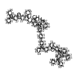 CC1(C)c2cc(N(c3ccccc3)c3ccc4c(c3)oc3cc(N(c5ccccc5)c5ccccc5)ccc34)ccc2-c2ccc(N(c3ccc(-c4ccc(-c5ccc(N(c6ccccc6)c6cccc(-c7cccc8c7oc7cc(N(c9ccc(N(c%10ccccc%10)c%10ccccc%10)cc9)c9cccc%10c9sc9ccccc9%10)ccc78)c6)cc5)cc4)cc3)c3cccc4ccccc34)cc21